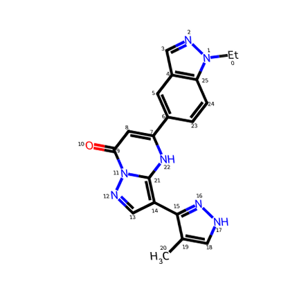 CCn1ncc2cc(-c3cc(=O)n4ncc(-c5n[nH]cc5C)c4[nH]3)ccc21